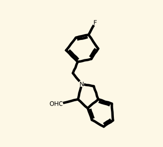 O=CC1c2ccccc2CN1Cc1ccc(F)cc1